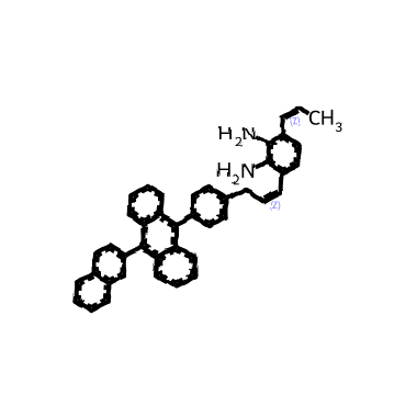 C/C=C\c1ccc(/C=C\Cc2ccc(-c3c4ccccc4c(-c4ccc5ccccc5c4)c4ccccc34)cc2)c(N)c1N